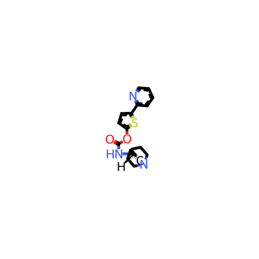 O=C(N[C@H]1CN2CCC1CC2)Oc1ccc(-c2ccccn2)s1